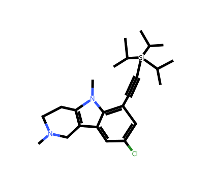 CC(C)[Si](C#Cc1cc(Cl)cc2c3c(n(C)c12)CCN(C)C3)(C(C)C)C(C)C